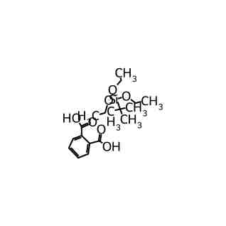 CCO[Si](OCC)(OCC)C(C)(C)C.O=C(O)c1ccccc1C(=O)O